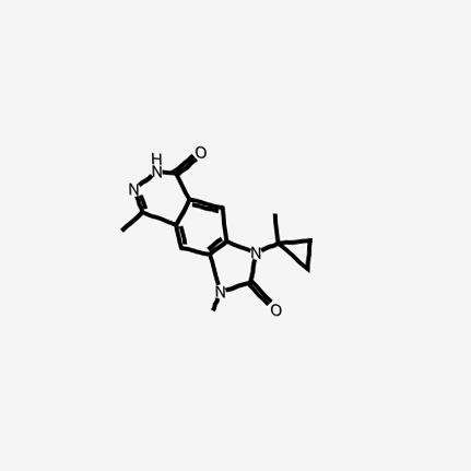 Cc1n[nH]c(=O)c2cc3c(cc12)n(C)c(=O)n3C1(C)CC1